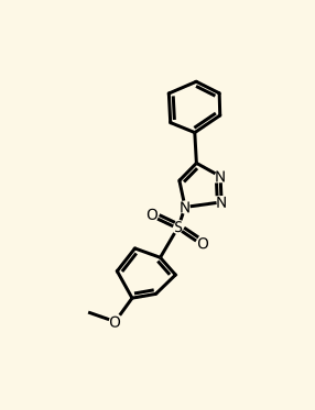 COc1ccc(S(=O)(=O)n2cc(-c3ccccc3)nn2)cc1